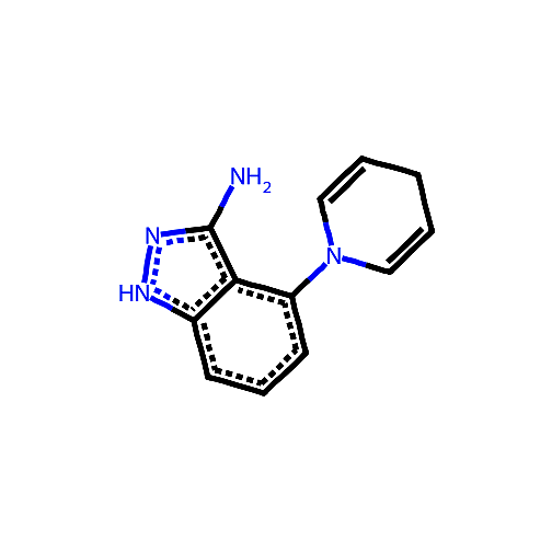 Nc1n[nH]c2cccc(N3C=CCC=C3)c12